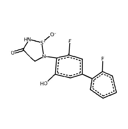 O=C1CN(c2c(O)cc(-c3ccccc3F)cc2F)[S+]([O-])N1